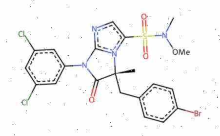 CON(C)S(=O)(=O)c1cnc2n1[C@](C)(Cc1ccc(Br)cc1)C(=O)N2c1cc(Cl)cc(Cl)c1